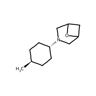 C[C@H]1CC[C@H](N2CC3CC(C2)O3)CC1